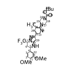 COc1ccc(C2CC(C(F)(F)F)n3nc(-c4cnc(N5CCN(C(=O)OC(C)(C)C)CC5)c(C)c4)cc3N2)cc1OC